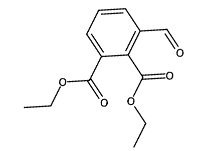 CCOC(=O)c1cccc(C=O)c1C(=O)OCC